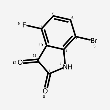 O=C1Nc2c(Br)ccc(F)c2C1=O